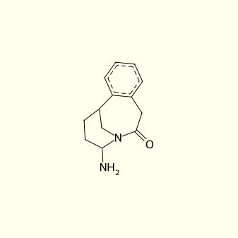 NC1CCC2CN1C(=O)Cc1ccccc12